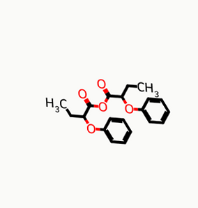 CCC(Oc1ccccc1)C(=O)OC(=O)C(CC)Oc1ccccc1